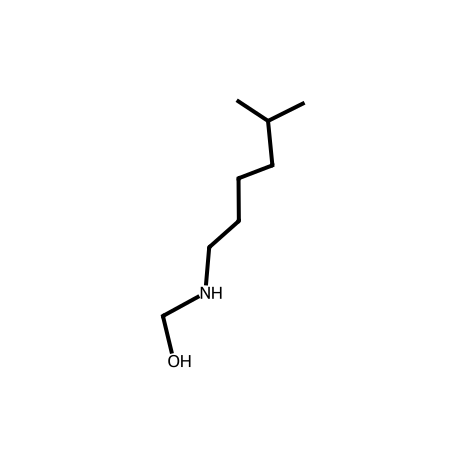 CC(C)CCCCNCO